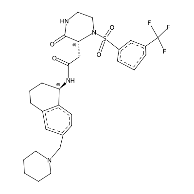 O=C(C[C@@H]1C(=O)NCCN1S(=O)(=O)c1cccc(C(F)(F)F)c1)N[C@@H]1CCCc2cc(CN3CCCCC3)ccc21